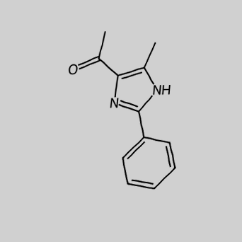 CC(=O)c1nc(-c2ccccc2)[nH]c1C